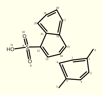 Cc1ccc(C)cc1.O=S(=O)(O)c1cccc2ccccc12